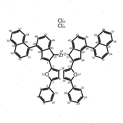 C1=C(c2ccc(-c3ccccc3)o2)[CH]([Zr+2][CH]2C(c3ccc(-c4ccccc4)o3)=Cc3c(-c4cccc5ccccc45)cccc32)c2cccc(-c3cccc4ccccc34)c21.[Cl-].[Cl-]